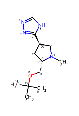 CN1C[C@H](c2nnc[nH]2)C[C@H]1COC(C)(C)C